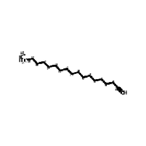 C.C#CCCCCCCCCCCCCCCCC